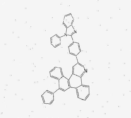 c1ccc(-c2cc3c4ccccc4c4ncc(-c5ccc(-c6nc7ccccc7n6-c6ccccc6)cc5)cc4c3c3ccccc23)cc1